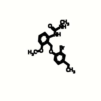 CCc1ccc(OCc2c(NC(=O)NC)cccc2OC)c(Br)c1